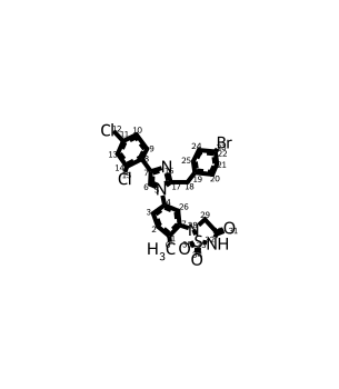 Cc1ccc(-n2cc(-c3ccc(Cl)cc3Cl)nc2Cc2ccc(Br)cc2)cc1N1CC(=O)NS1(=O)=O